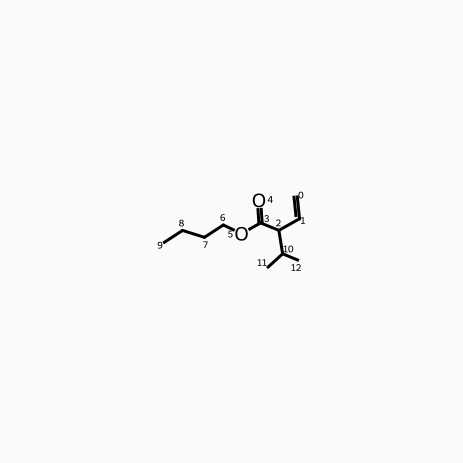 C=CC(C(=O)OCCCC)C(C)C